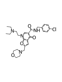 CCN(CC)CCn1cc(C(=O)NCc2ccc(Cl)cc2)c(=O)c2cc(CN3CCOCC3)oc21